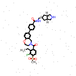 CCc1c(C(=O)N2CCOc3ccc(-c4ccc(C(=O)NC[C@H]5C[C@H]6CNC[C@H]6C5)cc4)cc3C2)ccc(S(C)(=O)=O)c1F